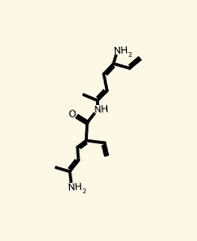 C=C/C(N)=C\C=C(/C)NC(=O)/C(C=C)=C/C=C(\C)N